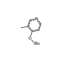 Cc1cnccc1OC(C)(C)C